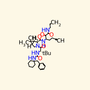 C#CCCC(NC(=O)[C@@H]1[C@@H]2[C@H](CN1C(=O)[C@@H](NC(=O)NC1(Cc3ccccc3)CCCCC1)C(C)(C)C)C2(C)C)C(=O)C(=O)NCC=C